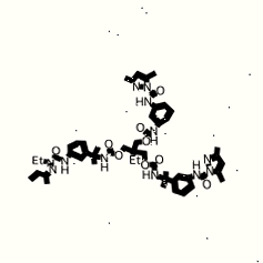 C=C/C(C)=N\N(CC)C(=O)Nc1cccc(C(C)(C)NC(=O)OCC(CC)(COC(=O)Nc2cccc(NC(=O)n3nc(C)cc3C)c2)COC(=O)NC(C)(C)c2cccc(NC(=O)n3nc(C)cc3C)c2)c1